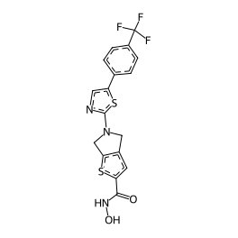 O=C(NO)c1cc2c(s1)CN(c1ncc(-c3ccc(C(F)(F)F)cc3)s1)C2